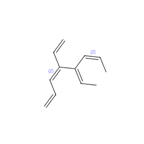 C=C/C=C(/C=C)C(=CC)/C=C\C